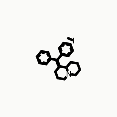 CI.c1ccc(C(=C2CCCN3CCCCC23)c2ccccc2)cc1